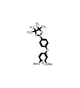 C=C(/C=C\C(=C/COC)Oc1ccc(B2OC(C)(C)C(C)(C)O2)cc1)OC